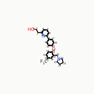 OCCc1cccc(-c2ccc(Oc3ccc(C(F)(F)F)cc3CN3CCCC3)cc2)n1